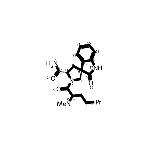 CNC(CCC(C)C)C(=O)N1C[C@]2(C[C@H]1C(N)=O)C(=O)Nc1ccccc12